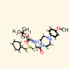 COc1ccc(N2CCN(C(=O)[C@H](CSCC3CCCCC3)NC(=O)OC(C)(C)C)CC2)cc1